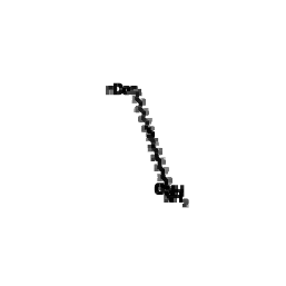 CCCCCCCCCCCCCCCCCCSCCCCCCCCCCC(=O)NN